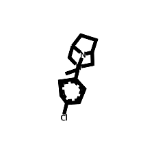 CCN1C2CCC1CN(c1ccc(Cl)cc1)C2